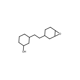 OC1CCCC(CCC2CCC3OC3C2)C1